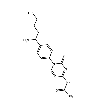 NCCCC(N)c1ccc(-n2ccc(NC(N)=O)nc2=O)cc1